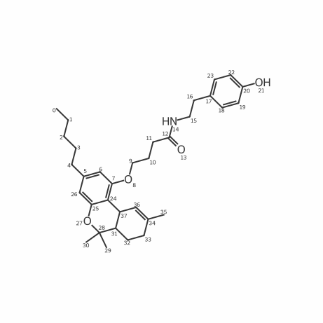 CCCCCc1cc(OCCCC(=O)NCCc2ccc(O)cc2)c2c(c1)OC(C)(C)C1CCC(C)=CC21